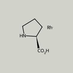 O=C(O)[C@@H]1CCCN1.[Rh]